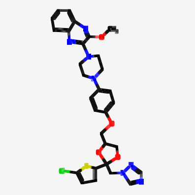 COc1nc2ccccc2nc1N1CCN(c2ccc(OCC3COC(Cn4cncn4)(c4ccc(Cl)s4)O3)cc2)CC1